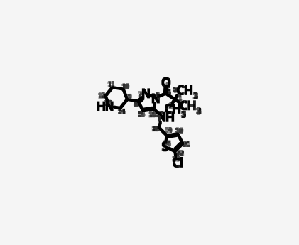 CC(C)(C)C(=O)n1nc(C2CCCNC2)cc1NCc1ccc(Cl)s1